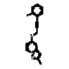 Cc1cc2nc(OCC#Cc3ccccc3F)ccn2n1